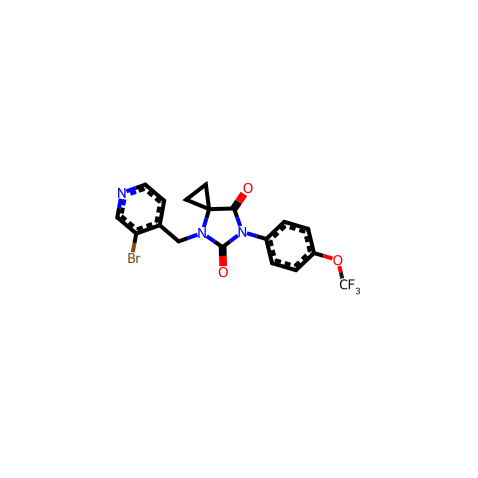 O=C1N(c2ccc(OC(F)(F)F)cc2)C(=O)C2(CC2)N1Cc1ccncc1Br